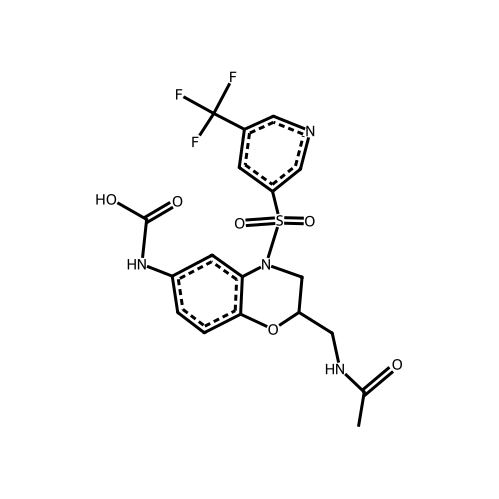 CC(=O)NCC1CN(S(=O)(=O)c2cncc(C(F)(F)F)c2)c2cc(NC(=O)O)ccc2O1